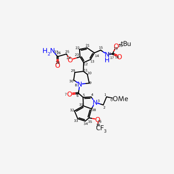 COCCn1cc(C(=O)N2CCC(c3cc(CNC(=O)OC(C)(C)C)ccc3OCC(N)=O)CC2)c2cccc(OC(F)(F)F)c21